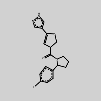 O=C(C1C=C(c2cn[nH]c2)SC1)N1CCCC1c1ccc(F)cc1